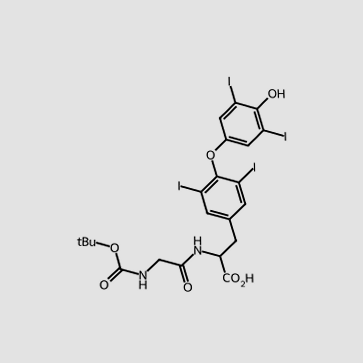 CC(C)(C)OC(=O)NCC(=O)NC(Cc1cc(I)c(Oc2cc(I)c(O)c(I)c2)c(I)c1)C(=O)O